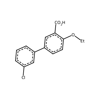 CCOc1ccc(-c2cccc(Cl)c2)cc1C(=O)O